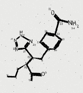 CCC[C@H](C(C)=O)[C@H](Cc1ccc(C(N)=O)cc1)c1nn[nH]n1